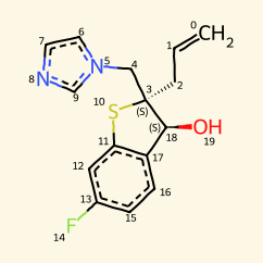 C=CC[C@@]1(Cn2ccnc2)Sc2cc(F)ccc2[C@@H]1O